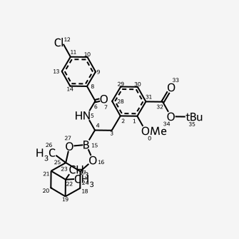 COc1c(CC(NC(=O)c2ccc(Cl)cc2)B2OC3CC4CC(C4(C)C)C3(C)O2)cccc1C(=O)OC(C)(C)C